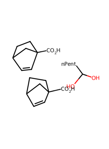 CCCCCC(O)O.O=C(O)C12C=CC(CC1)C2.O=C(O)C12C=CC(CC1)C2